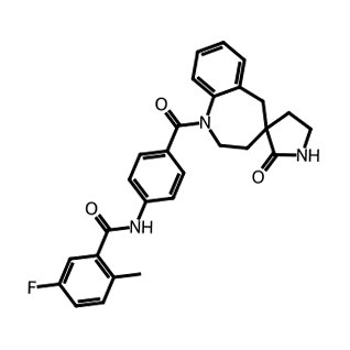 Cc1ccc(F)cc1C(=O)Nc1ccc(C(=O)N2CCC3(CCNC3=O)Cc3ccccc32)cc1